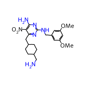 COc1cc(CNc2nc(N)c([N+](=O)[O-])c(CC3CCC(CN)CC3)n2)cc(OC)c1